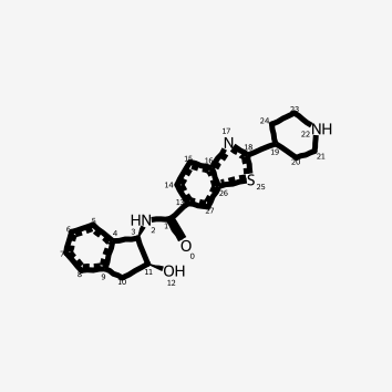 O=C(N[C@@H]1c2ccccc2C[C@@H]1O)c1ccc2nc(C3CCNCC3)sc2c1